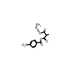 CC(C(=O)OB=NP)C(=O)OC(=O)c1ccc([N+](=O)[O-])cc1